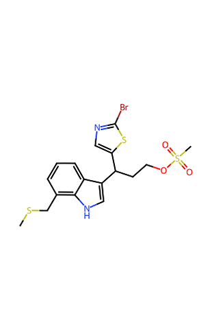 CSCc1cccc2c(C(CCOS(C)(=O)=O)c3cnc(Br)s3)c[nH]c12